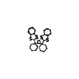 c1ccc2c(c1)SC(C1(OC3(C4Sc5ccccc5S4)CCCCC3)CCCCC1)S2